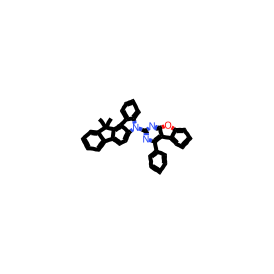 CC1(C)c2ccccc2-c2ccc3c(c21)c1ccccc1n3-c1nc(-c2ccccc2)c2c(n1)oc1ccccc12